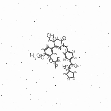 CCC1CC(=O)N(Cc2ccc(C(=O)NC3CCCC3)cc2)N=C1c1ccc(OC)c(OC(F)F)c1